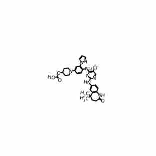 CC1(C)CCC(=O)Nc2ccc(Nc3ncc(Cl)c(Nc4ccc(N5CCC(OC(=O)O)CC5)cc4-n4cccn4)n3)cc21